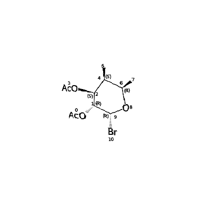 CC(=O)O[C@@H]1[C@@H](OC(C)=O)[C@@H](C)[C@@H](C)O[C@@H]1Br